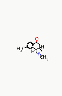 Cc1ccc2c(c1)[C@H]1CN(C)C[C@H]1CC2=O